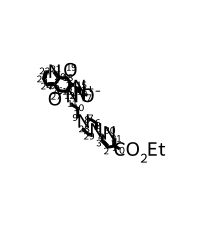 CCOC(=O)c1ccc(N2CCN(CCCn3c4c(n[n+]3[O-])C(=O)c3ncccc3C4=O)CC2)nc1